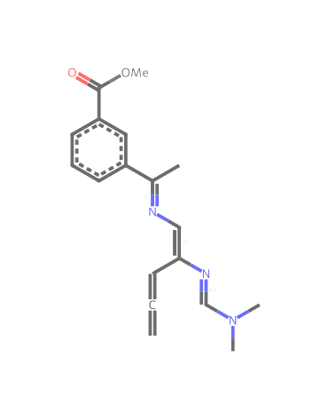 C=C=CC(=C\N=C(/C)c1cccc(C(=O)OC)c1)/N=C/N(C)C